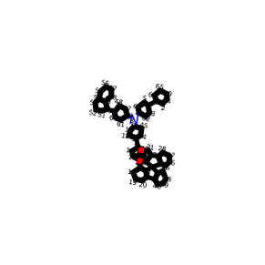 c1ccc(-c2ccc(N(c3ccc(-c4ccc(-c5cccc6c5C5(c7ccccc7-c7ccccc75)c5ccccc5-6)cc4)cc3)c3ccc(-c4cccc5ccccc45)cc3)cc2)cc1